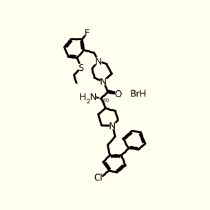 Br.CCSc1cccc(F)c1CN1CCN(C(=O)[C@H](N)C2CCN(CCc3cc(Cl)ccc3-c3ccccc3)CC2)CC1